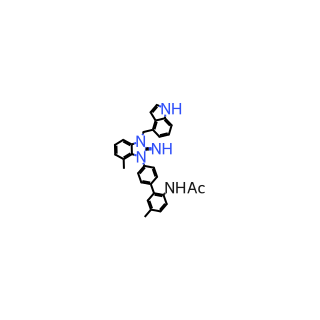 CC(=O)Nc1ccc(C)cc1-c1ccc(-n2c(=N)n(Cc3cccc4[nH]ccc34)c3cccc(C)c32)cc1